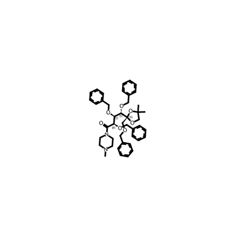 CN1CCN(C(=O)[C@H](OCc2ccccc2)[C@@H](OCc2ccccc2)[C@H](OCc2ccccc2)[C@@]2(COCc3ccccc3)OCC(C)(C)O2)CC1